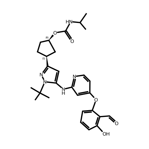 CC(C)NC(=O)O[C@@H]1CC[C@H](c2cc(Nc3cc(Oc4cccc(O)c4C=O)ccn3)n(C(C)(C)C)n2)C1